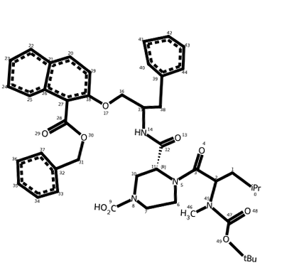 CC(C)CC(C(=O)N1CCN(C(=O)O)C[C@@H]1C(=O)NC(COc1ccc2ccccc2c1C(=O)OCc1ccccc1)Cc1ccccc1)N(C)C(=O)OC(C)(C)C